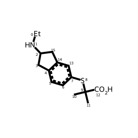 CCNC1Cc2ccc(SC(C)(C)C(=O)O)cc2C1